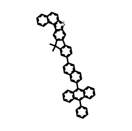 CC1(C)c2cc(-c3ccc4cc(-c5c6ccccc6c(-c6ccccc6)c6ccccc56)ccc4c3)ccc2-c2cc3sc4ccc5ccccc5c4c3cc21